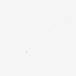 CCOC(=O)C(=CN(C)C)Cc1cc(F)c(Cl)nc1Cl